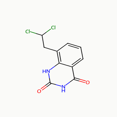 O=c1[nH]c(=O)c2cccc(CC(Cl)Cl)c2[nH]1